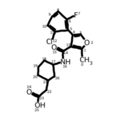 Cc1occ(-c2c(F)cccc2Cl)c1C(=O)NC1CCCC(CC(=O)O)C1